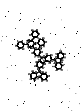 c1ccc(-c2nc(-c3ccccc3)nc(-c3ccc(-n4c5ccc(-n6c7ccccc7c7ccccc76)cc5c5cc(-n6c7ccccc7c7ccccc76)ccc54)cc3-c3ccccc3)n2)cc1